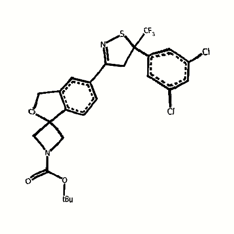 CC(C)(C)OC(=O)N1CC2(C1)OCc1cc(C3=NSC(c4cc(Cl)cc(Cl)c4)(C(F)(F)F)C3)ccc12